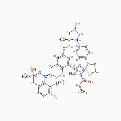 C#Cc1c(F)ccc2c1N([C@@H]1CCc3c(nc(OC[C@]4(C)C[C@@H](F)CN4c4cncnc4)nc3NCC3(N(C)C(=O)C=C)CCCC3)C1)C[C@@](C)(O)C2